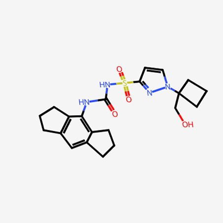 O=C(Nc1c2c(cc3c1CCC3)CCC2)NS(=O)(=O)c1ccn(C2(CO)CCC2)n1